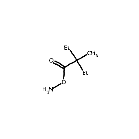 CCC(C)(CC)C(=O)ON